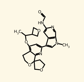 CC(Oc1cc(-c2cn(C)c3cnc(NC=O)cc23)nc2c1CCOC21CCOC1)C1COC1